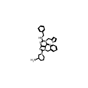 NC1CCCN(c2nc3nc(NCc4ccccc4)n(Cc4cccs4)c(=O)c3n2Cc2ccccc2)C1